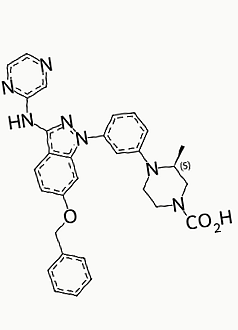 C[C@H]1CN(C(=O)O)CCN1c1cccc(-n2nc(Nc3cnccn3)c3ccc(OCc4ccccc4)cc32)c1